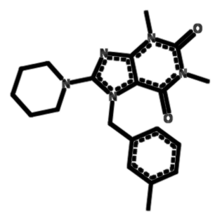 Cc1cccc(Cn2c(N3CCCCC3)nc3c2c(=O)n(C)c(=O)n3C)c1